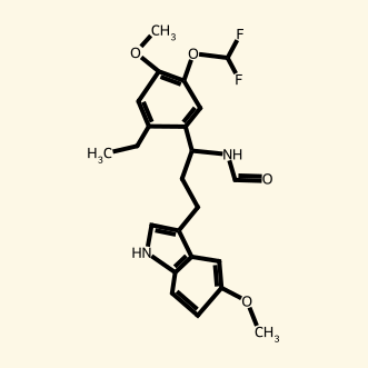 CCc1cc(OC)c(OC(F)F)cc1C(CCc1c[nH]c2ccc(OC)cc12)NC=O